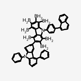 Bc1c(B)c(B)c2c(c1B)c1c(B)c(-c3ccc4c(c3)c3c(-c5ccccc5)cccc3n4-c3ccccc3)c(B)c(B)c1n2-c1ccc(-c2cccc3ccccc23)cc1